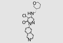 O=c1c(Cl)c(NC[C@H]2CCCOC2)cnn1-c1ccc2cnccc2c1